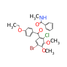 CCOc1ccc(C(=O)c2cc(Br)c(OC)c(OC)c2Cl)cc1.CNC(=O)c1ccccc1